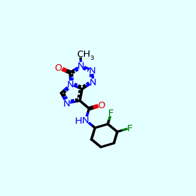 Cn1nnc2c(C(=O)NC3CCCC(F)C3F)ncn2c1=O